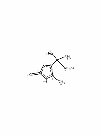 CCCCCCCC(C)(CCCCCC)c1cc(=O)[nH]n1C